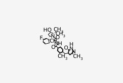 Cc1cc(Cc2ccc(C(=O)NCC(=O)N3[C@H](C4(C)C=C(F)C=CC4)C[C@H](O)[C@@H]3C(C)C)cc2C)c(=O)[nH]n1